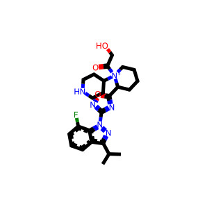 CC(C)c1nn(-c2noc(C3CCCC[N+]3(C(=O)CO)C3CCNCC3)n2)c2c(F)cccc12